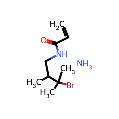 C=CC(=O)NCC(C)C(C)(C)Br.N